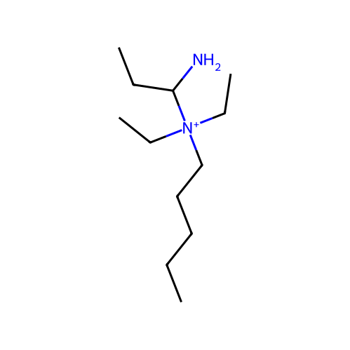 CCCCC[N+](CC)(CC)C(N)CC